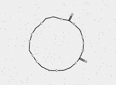 O=C1CCCCCCCCCCCCCCCCC(=O)OCCCO1